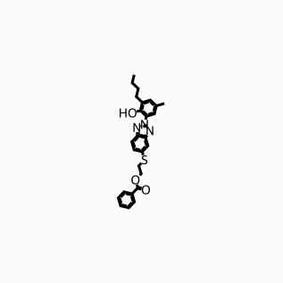 CCCCc1cc(C)cc(-n2nc3ccc(SCCOC(=O)c4ccccc4)cc3n2)c1O